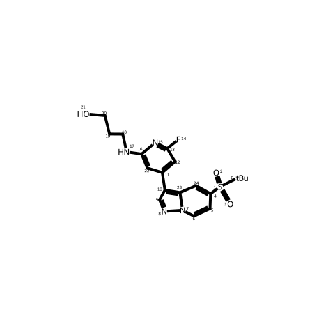 CC(C)(C)S(=O)(=O)c1ccn2ncc(-c3cc(F)nc(NCCCO)c3)c2c1